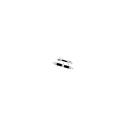 CC#N.O=C=O